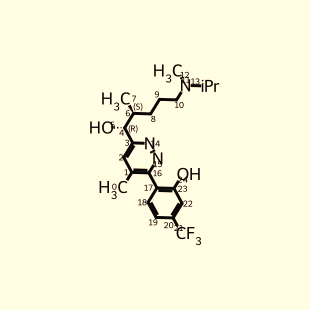 Cc1cc([C@H](O)[C@@H](C)CCCN(C)C(C)C)nnc1-c1ccc(C(F)(F)F)cc1O